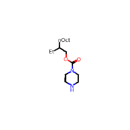 CCCCCCCCC(CC)COC(=O)N1CCNCC1